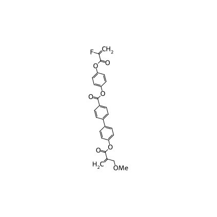 C=C(F)C(=O)Oc1ccc(OC(=O)c2ccc(-c3ccc(OC(=O)C(=C)COC)cc3)cc2)cc1